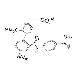 CC(=O)Nc1ccc(-c2ccccc2C(=O)O)c(C(=O)Nc2ccc(C(=N)N)cc2)c1.CS(=O)(=O)O